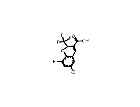 O=C(O)C1=Cc2cc(Cl)cc(Br)c2OC1C(F)(F)F